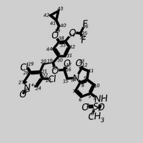 CS(=O)(=O)Nc1ccc2c(c1)CC(=O)N2CC(=O)O[C@@H](Cc1c(Cl)c[n+]([O-])cc1Cl)c1ccc(OC(F)F)c(OCC2CC2)c1